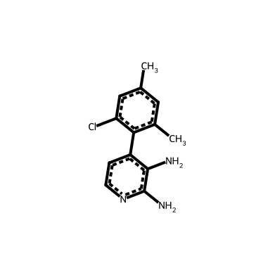 Cc1cc(C)c(-c2ccnc(N)c2N)c(Cl)c1